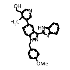 COc1ccc(Cn2nc(-c3nc4ccccc4[nH]3)c3cc(-c4cncc(CO)c4C)ccc32)cc1